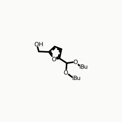 CCC(C)OC(OC(C)CC)c1ccc(CO)o1